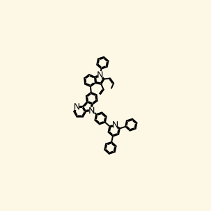 C=Cc1c(/C=C\C)n(-c2ccccc2)c2cccc(-c3ccc4c(c3)c3ncccc3n4-c3ccc(-c4cc(-c5ccccc5)cc(-c5ccccc5)n4)cc3)c12